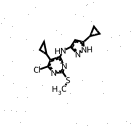 CSc1nc(Cl)c(C2CC2)c(Nc2cc(C3CC3)[nH]n2)n1